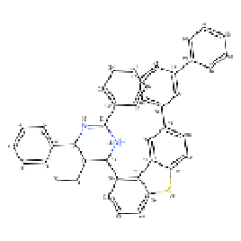 CCC1C(c2ccccc2)N=C(c2ccccc2)NC1c1cccc2sc3ccc(-c4cccc(-c5ccccc5)c4)cc3c12